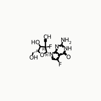 C#C[C@@]1(F)C(O)[C@@H](CO)O[C@H]1n1cc(F)c2c(=O)[nH]c(N)nc21